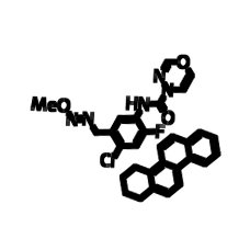 CON=NCc1cc(NC(=O)N2C=COC=N2)c(F)cc1Cl.c1ccc2c(c1)ccc1c3c(ccc12)CCCC3